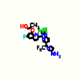 CC(CO)Oc1cc(F)cc2ccc(-c3nnc4ccc([C@@H](N5CCC(N)C5)C(F)(F)F)cn34)nc12.Cl.Cl